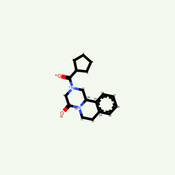 O=C(C1CCCC1)N1CC(=O)N2CCc3ccccc3C2C1